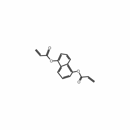 C=CC(=O)Oc1cccc2c(OC(=O)C=C)cccc12